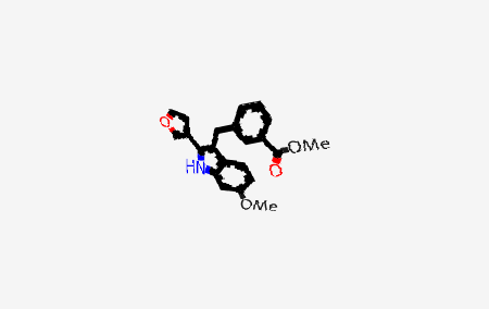 COC(=O)c1cccc(Cc2c(-c3ccoc3)[nH]c3cc(OC)ccc23)c1